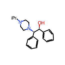 CC(C)N1CCN([C@H](c2ccccc2)[C@@H](O)c2ccccc2)CC1